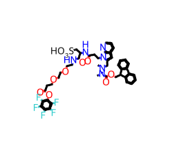 CN(Cc1cc2cccnc2n1CCC(=O)NC(CS(=O)(=O)O)C(=O)NCCOCCOCCC(=O)Oc1c(F)c(F)c(F)c(F)c1F)N(C)C(=O)OCC1c2ccccc2-c2ccccc21